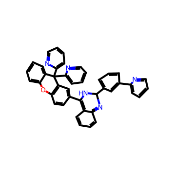 c1ccc(-c2cccc(C3N=c4ccccc4=C(c4ccc5c(c4)C(c4ccccn4)(c4ccccn4)c4ccccc4O5)N3)c2)nc1